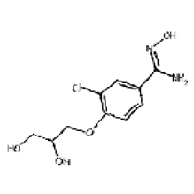 N/C(=N\O)c1ccc(OCC(O)CO)c(Cl)c1